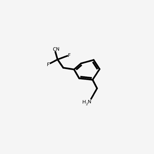 N#CC(F)(F)Cc1cccc(CN)c1